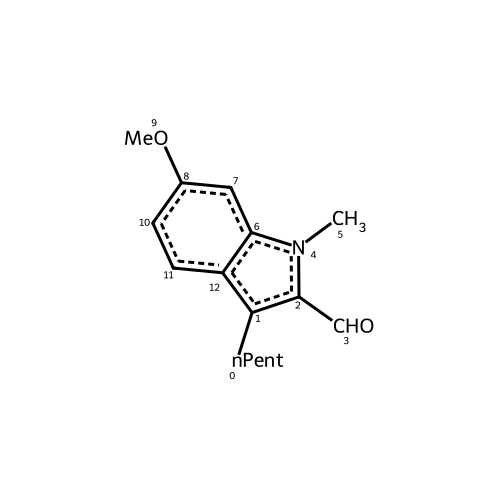 CCCCCc1c(C=O)n(C)c2cc(OC)ccc12